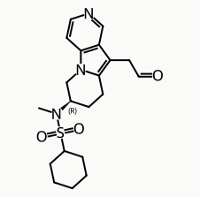 CN([C@@H]1CCc2c(CC=O)c3cnccc3n2C1)S(=O)(=O)C1CCCCC1